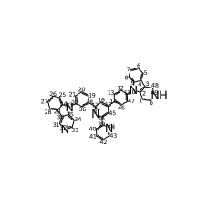 C1=Cc2c(c3ccccc3n2-c2ccc(-c3cc(-c4cccc(-n5c6ccccc6c6cnccc65)c4)nc(-c4ccccn4)c3)cc2)CN1